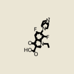 CCn1cc(C(=O)O)c(=O)c2cc(F)c(N3CC4CC3CN4C)c(F)c21